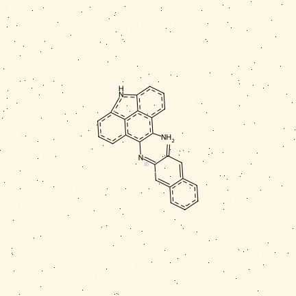 C=C1C=c2ccccc2=C/C1=N/c1c(N)c2cccc3[nH]c4cccc1c4c32